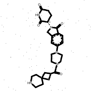 O=C1CC[C@H](N2Cc3cc(N4CCN(C(=O)C5CC6(CCNCC6)C5)CC4)ccc3C2=O)C(=O)N1